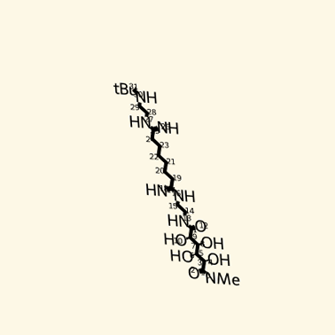 CNC(=O)[C@@H](O)[C@H](O)[C@H](O)[C@@H](O)C(=O)NCCNC(=N)CCCCCCC(=N)NCCNC(C)(C)C